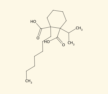 CCCCCCCC1(C(=O)O)CCCCC1(C(=O)O)C(C)C